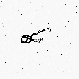 C=COCCC1C2CC3CC(C2)CC1(C(=O)O)C3